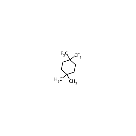 CC1(C)CCC(C(F)(F)F)(C(F)(F)F)CC1